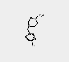 Nc1ccc(CN2CCN(C(=O)O)CC2)cn1